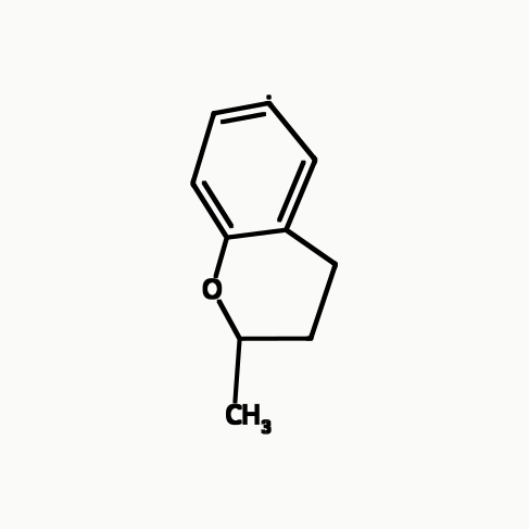 CC1CCc2c[c]ccc2O1